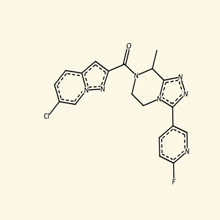 CC1c2nnc(-c3ccc(F)nc3)n2CCN1C(=O)c1cc2ccc(Cl)cn2n1